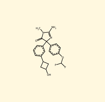 CN1C(=O)C(c2ccc(OC(F)F)cc2)(c2cccc(C3CC(O)C3)c2)N=C1N